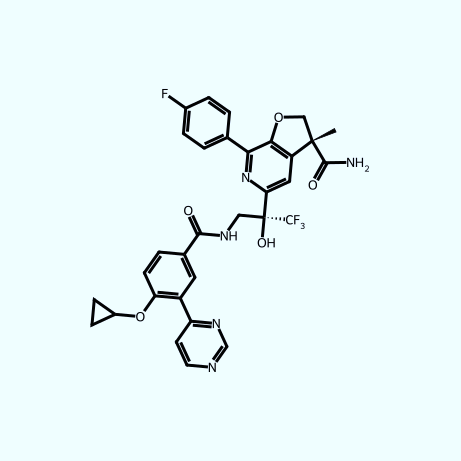 C[C@]1(C(N)=O)COc2c1cc([C@@](O)(CNC(=O)c1ccc(OC3CC3)c(-c3ccncn3)c1)C(F)(F)F)nc2-c1ccc(F)cc1